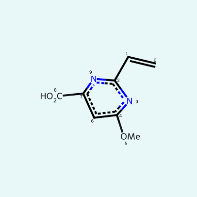 C=Cc1nc(OC)cc(C(=O)O)n1